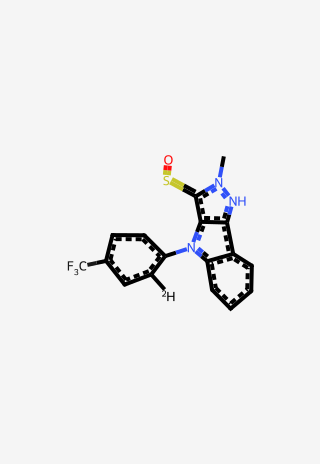 [2H]c1cc(C(F)(F)F)ccc1-n1c2ccccc2c2[nH]n(C)c(=S=O)c21